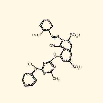 CCN(c1ccccc1)c1nc(C)nc(Nc2cc(S(=O)(=O)O)cc3cc(S(=O)(=O)O)c(/N=N/c4ccccc4S(=O)(=O)O)c(N=O)c23)n1